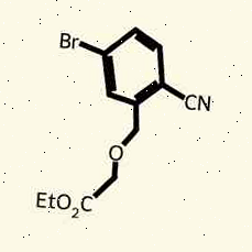 CCOC(=O)COCc1cc(Br)ccc1C#N